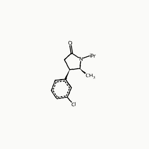 CC(C)N1C(=O)C[C@H](c2cccc(Cl)c2)[C@@H]1C